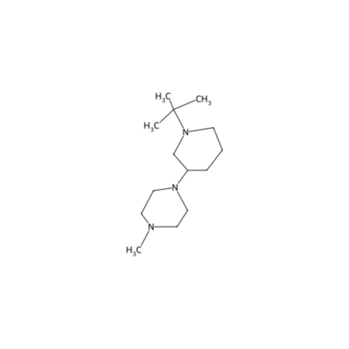 CN1CCN(C2CCCN(C(C)(C)C)C2)CC1